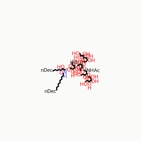 CCCCCCCCCCCCC/C=C/[C@@H](O)[C@H](CO[C@@H]1OC(CO)[C@@H](O[C@@H]2OC(CO)[C@H](O[C@@H]3OC(CO)[C@H](O)[C@H](O[C@@H]4OC(CO)[C@H](O)[C@H](O)C4O)C3NC(C)=O)[C@H](O[C@]3(C(=O)O)CC(O)[C@@H](O)C([C@H](O)[C@H](O)CO)O3)C2O)[C@H](O)C1O)NC(=O)CCCCCCCCCCCCCCCCCCC